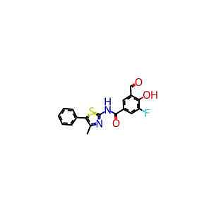 Cc1nc(NC(=O)c2cc(F)c(O)c(C=O)c2)sc1-c1ccccc1